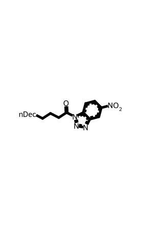 CCCCCCCCCCCCCC(=O)n1nnc2cc([N+](=O)[O-])ccc21